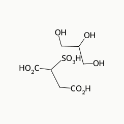 O=C(O)CC(C(=O)O)S(=O)(=O)O.OCC(O)CO